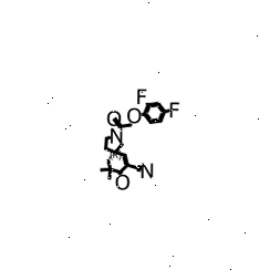 CC1(C)C[C@]2(C=C(C#N)C1=O)CCN(C(=O)COc1ccc(F)cc1F)C2